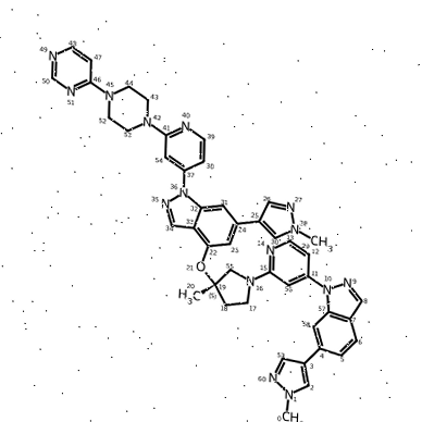 Cn1cc(-c2ccc3cnn(-c4ccnc(N5CC[C@](C)(Oc6cc(-c7cnn(C)c7)cc7c6cnn7-c6ccnc(N7CCN(c8ccncn8)CC7)c6)C5)c4)c3c2)cn1